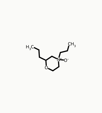 CCCC1C[N+]([O-])(CCC)CCO1